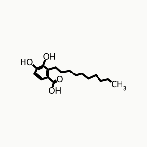 CCCCCCCCCCc1c(C(=O)O)ccc(O)c1O